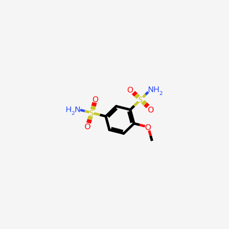 COc1ccc(S(N)(=O)=O)cc1S(N)(=O)=O